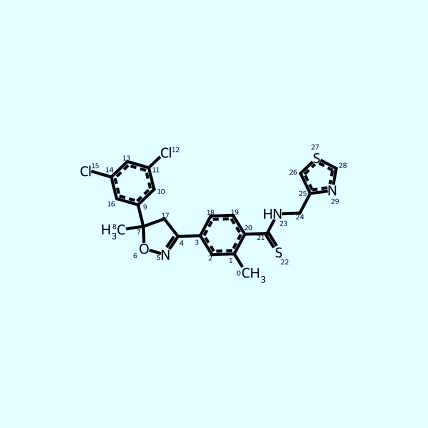 Cc1cc(C2=NOC(C)(c3cc(Cl)cc(Cl)c3)C2)ccc1C(=S)NCc1cscn1